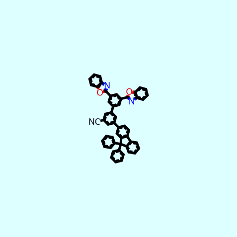 N#Cc1cc(-c2cc(-c3nc4ccccc4o3)cc(-c3nc4ccccc4o3)c2)cc(-c2ccc3c(c2)C(c2ccccc2)(c2ccccc2)c2ccccc2-3)c1